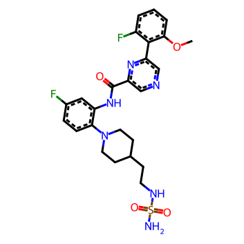 COc1cccc(F)c1-c1cncc(C(=O)Nc2cc(F)ccc2N2CCC(CCNS(N)(=O)=O)CC2)n1